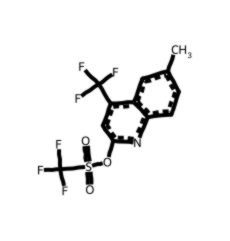 Cc1ccc2nc(OS(=O)(=O)C(F)(F)F)cc(C(F)(F)F)c2c1